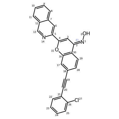 O/N=c1\cc(-c2cc3ccccc3cn2)oc2cc(C#Cc3ccccc3Cl)ccc12